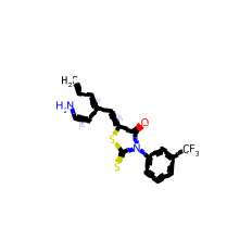 C=C/C=C(\C=C/N)/C=C1\SC(=S)N(c2cccc(C(F)(F)F)c2)C1=O